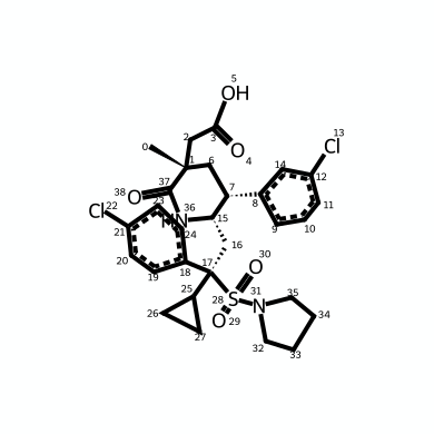 C[C@@]1(CC(=O)O)C[C@H](c2cccc(Cl)c2)[C@H](C[C@@](c2ccc(Cl)cc2)(C2CC2)S(=O)(=O)N2CCCC2)NC1=O